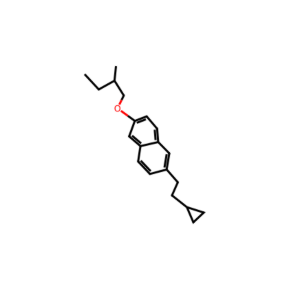 CCC(C)COc1ccc2cc(CCC3CC3)ccc2c1